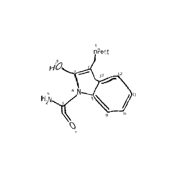 CCCCCc1c(O)n(C(N)=O)c2ccccc12